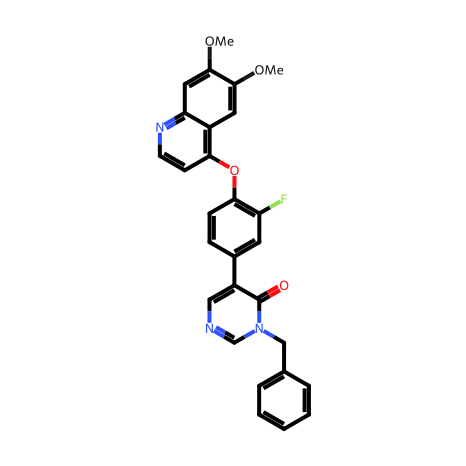 COc1cc2nccc(Oc3ccc(-c4cncn(Cc5ccccc5)c4=O)cc3F)c2cc1OC